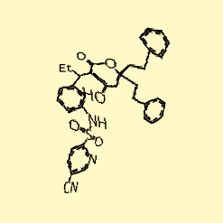 CCC(C1=C(O)CC(CCc2ccccc2)(CCc2ccccc2)OC1=O)c1cccc(NS(=O)(=O)c2ccc(C#N)cn2)c1